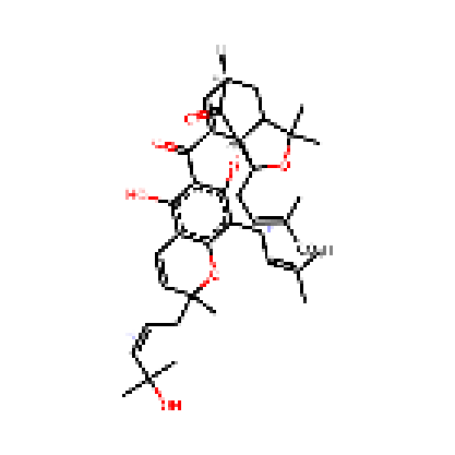 CC(C)=CCc1c2c(c(O)c3c1O[C@]14C(=C[C@@H]5CC1C(C)(C)OC4(C/C=C(\C)C(=O)O)C5=O)C3=O)C=CC(C)(C/C=C\C(C)(C)O)O2